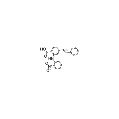 O=C(O)c1ccc(/C=C/c2ccccc2)cc1Nc1ccccc1[N+](=O)[O-]